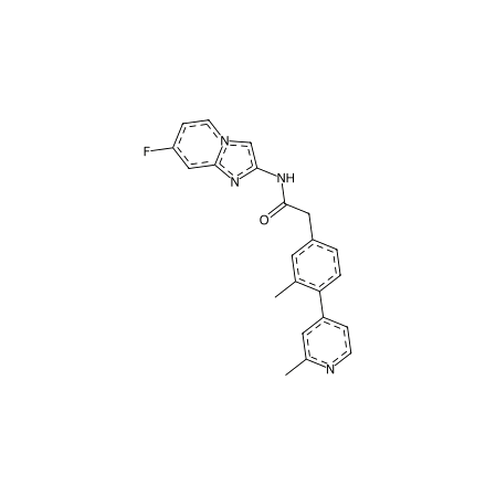 Cc1cc(-c2ccc(CC(=O)Nc3cn4ccc(F)cc4n3)cc2C)ccn1